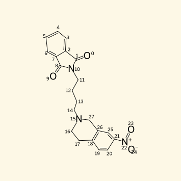 O=C1c2ccccc2C(=O)N1CCCCN1CCc2ccc([N+](=O)[O-])cc2C1